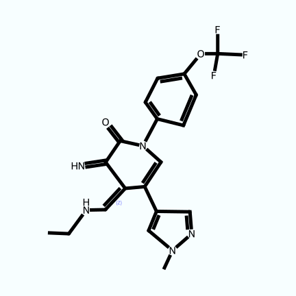 CCN/C=C1\C(=N)C(=O)N(c2ccc(OC(F)(F)F)cc2)C=C1c1cnn(C)c1